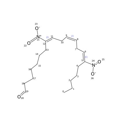 CCCCC/C(=C\C/C=C\C/C=C(\CCCCCC[C]=O)[N+](=O)[O-])[N+](=O)[O-]